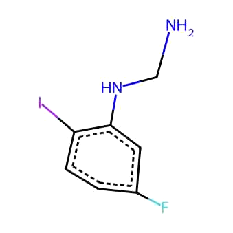 NCNc1cc(F)ccc1I